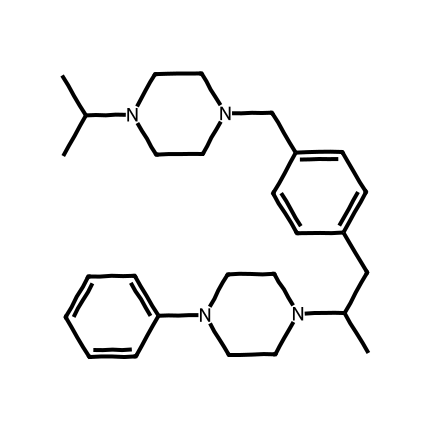 CC(C)N1CCN(Cc2ccc(CC(C)N3CCN(c4ccccc4)CC3)cc2)CC1